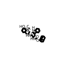 C[C@](Cc1c[nH]c2ccccc12)(NC(=O)OC1C2CC3CC(C2)CC1C3)C(=O)N[C@@H](Cc1ccccc1)C[S+]([O-])CC(=O)O